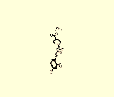 CCOC(=O)C1CCN(CCC(=O)C=Cc2ccc(Cl)cc2Cl)CC1.Cl